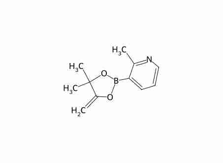 C=C1OB(c2cccnc2C)OC1(C)C